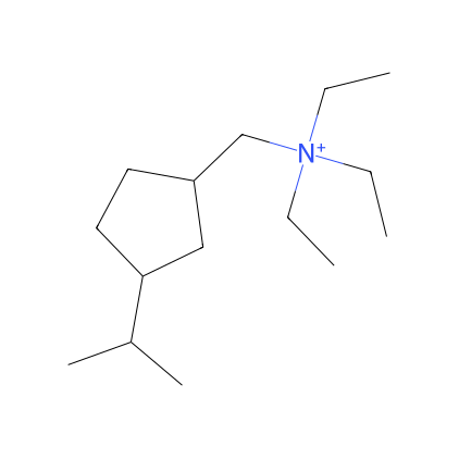 CC[N+](CC)(CC)CC1CCC(C(C)C)C1